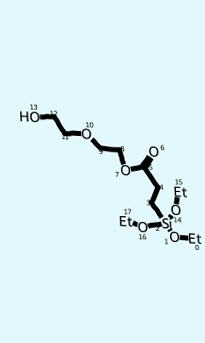 CCO[Si](CCC(=O)OCCOCCO)(OCC)OCC